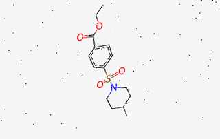 CCOC(=O)c1ccc(S(=O)(=O)N2CCC(C)CC2)cc1